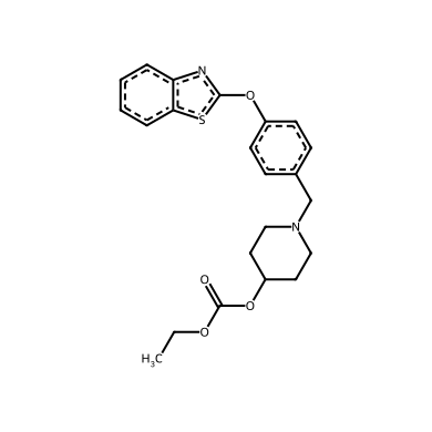 CCOC(=O)OC1CCN(Cc2ccc(Oc3nc4ccccc4s3)cc2)CC1